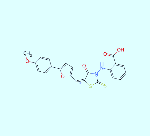 COc1ccc(-c2ccc(/C=C3/SC(=S)N(Nc4ccccc4C(=O)O)C3=O)o2)cc1